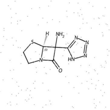 NC1(c2nnn[nH]2)C(=O)N2CCS[C@H]21